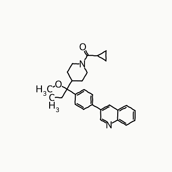 CCC(OC)(c1ccc(-c2cnc3ccccc3c2)cc1)C1CCN(C(=O)C2CC2)CC1